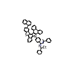 CC[C@H](/N=C(\C=C(/C)c1ccccc1)c1ccc(-n2c3c4ccccc4c4ccccc4c3c3c4c5cc(-c6cccc7ccccc67)ccc5sc4c4ccccc4c32)cc1)C1=CCCC=C1